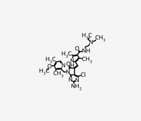 CCN(CC)CCNC(=O)c1c(C)[nH]c(C=C2C(=O)N(Cc3ncc(C)c(OC)c3C)c3nc(N)nc(Cl)c32)c1C